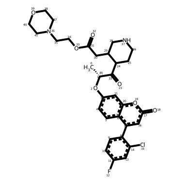 C[C@@H](Oc1ccc2c(-c3ccc(F)cc3Cl)cc(=O)oc2c1)C(=O)C1CCNCC1CC(=O)OCCN1CCOCC1